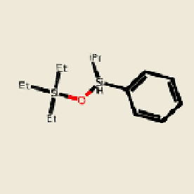 CC[Si](CC)(CC)O[SiH](c1ccccc1)C(C)C